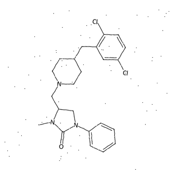 CN1C(=O)N(c2ccccc2)CC1CN1CCC(Cc2cc(Cl)ccc2Cl)CC1